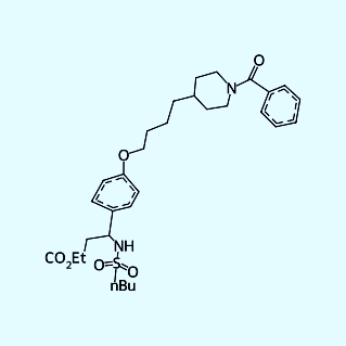 CCCCS(=O)(=O)NC(CC(=O)OCC)c1ccc(OCCCCC2CCN(C(=O)c3ccccc3)CC2)cc1